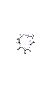 [CH]1/C=C/C/C=C/C=C\CCC/C=C/1